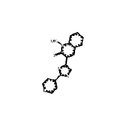 O=Cn1c(=O)c(-c2csc(-c3ccncc3)n2)cc2ccccc21